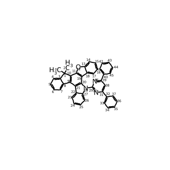 CC1(C)c2ccccc2-c2c1c1oc3ccccc3c1c1c2c2ccccc2n1-c1nc(-c2ccccc2)cc(-c2ccccc2)n1